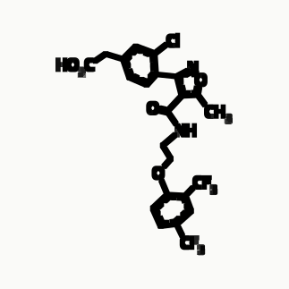 Cc1onc(-c2ccc(CC(=O)O)cc2Cl)c1C(=O)NCCOc1ccc(C(F)(F)F)cc1C(F)(F)F